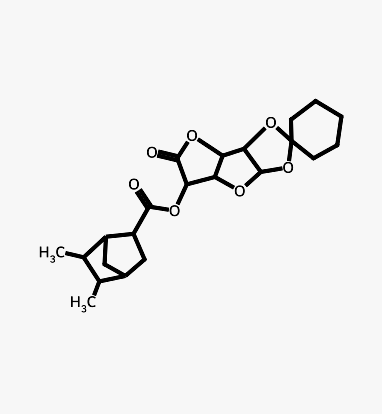 CC1C2CC(C(=O)OC3C(=O)OC4C5OC6(CCCCC6)OC5OC34)C(C2)C1C